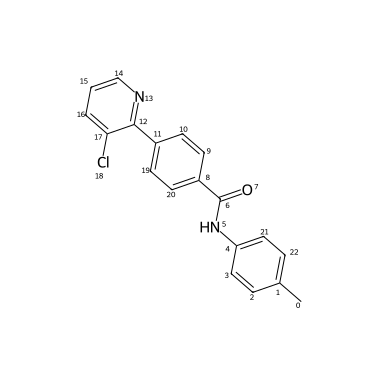 Cc1ccc(NC(=O)c2ccc(-c3ncccc3Cl)cc2)cc1